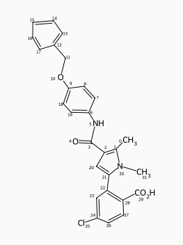 Cc1c(C(=O)Nc2ccc(OCc3ccccc3)cc2)cc(-c2cc(Cl)ccc2C(=O)O)n1C